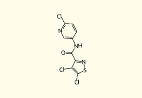 O=C(Nc1ccc(Cl)nc1)c1nsc(Cl)c1Cl